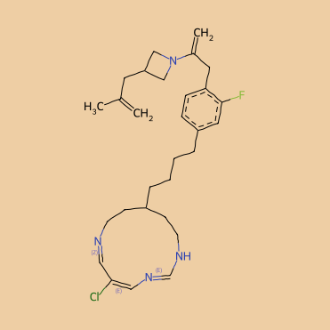 C=C(C)CC1CN(C(=C)Cc2ccc(CCCCC3CC\N=C/C(Cl)=C\N=C\NCC3)cc2F)C1